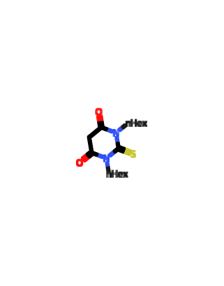 CCCCCCN1C(=O)CC(=O)N(CCCCCC)C1=S